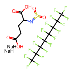 FC(F)(F)C(F)(F)C(F)(F)C(F)(F)C(F)(F)C(F)(F)C(F)(F)C(F)(F)F.O=C(O)CCC(N=S(=O)=O)C(=O)O.[NaH].[NaH]